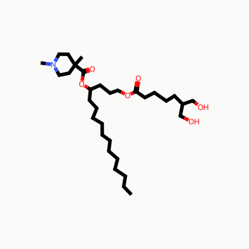 CCCCCCCCCCCCC(CCCOC(=O)CCCCC(CO)CO)OC(=O)C1(C)CCN(C)CC1